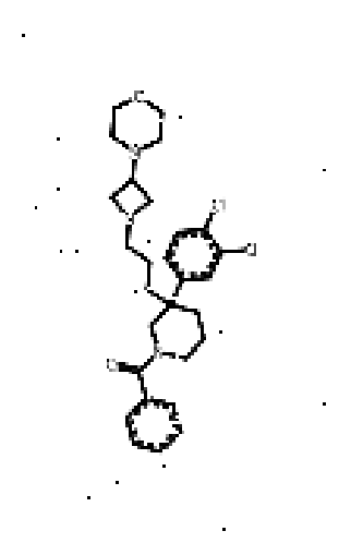 O=C(c1ccccc1)N1CCCC(CCCN2CC(N3CCOCC3)C2)(c2ccc(Cl)c(Cl)c2)C1